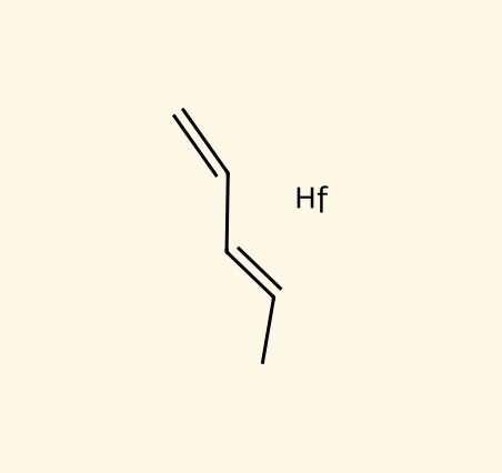 C=CC=CC.[Hf]